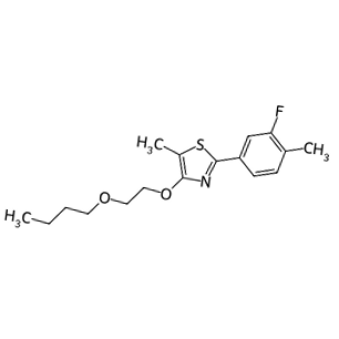 CCCCOCCOc1nc(-c2ccc(C)c(F)c2)sc1C